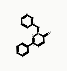 S=c1ccc(-c2ccccc2)nn1Cc1ccccc1